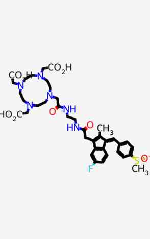 CC1=C(CC(=O)NCCNC(=O)CN2CCN(CC(=O)O)CCN(CC(=O)O)CCN(CC(=O)O)CC2)c2cc(F)ccc2/C1=C\c1ccc([S+](C)[O-])cc1